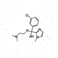 CCCC(OCCN(C)C)(c1cccc(Cl)c1)c1nccn1C